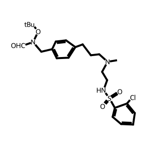 CN(CCCc1ccc(CN(C=O)OC(C)(C)C)cc1)CCNS(=O)(=O)c1ccccc1Cl